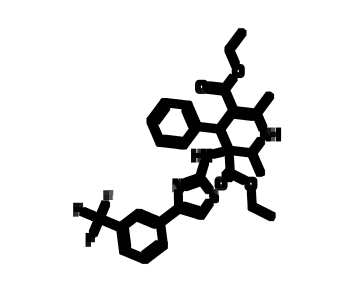 CCOC(=O)C1=C(C)NC(C)C(Nc2nc(-c3cccc(C(F)(F)F)c3)cs2)(C(=O)OCC)C1c1ccccc1